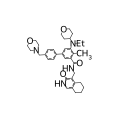 CCN(c1cc(-c2ccc(CN3CCOCC3)cc2)cc(C(=O)NCc2c3c(c[nH]c2=O)CCCC3)c1C)C1CCOCC1